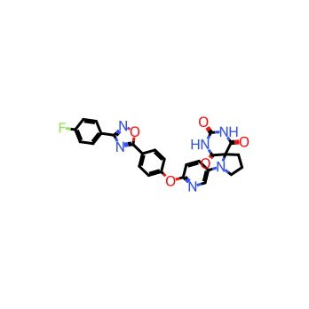 O=C1NC(=O)C2(CCCN2c2ccc(Oc3ccc(-c4nc(-c5ccc(F)cc5)no4)cc3)nc2)C(=O)N1